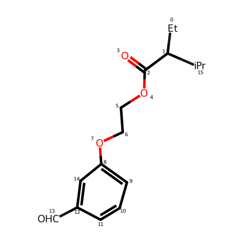 CCC(C(=O)OCCOc1cccc(C=O)c1)C(C)C